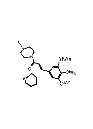 C1CCNCC1.COc1cc(C=CC(=O)N2CCN(C(C)=O)CC2)cc(OC)c1OC